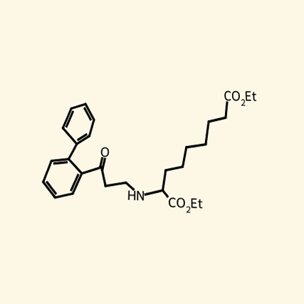 CCOC(=O)CCCCCCC(NCCC(=O)c1ccccc1-c1ccccc1)C(=O)OCC